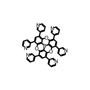 c1cncc(-c2cc(-c3cccnc3)c3c4c2Oc2c(-c5cccnc5)cc(-c5cccnc5)c5c2B4c2c(c(-c4cccnc4)cc(-c4cccnc4)c2O5)O3)c1